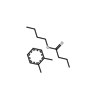 CCCCOC(=O)CCC.Cc1ccccc1C